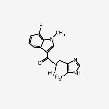 Cc1[nH]cnc1CN(C)C(=O)c1cn(C)c2c(F)cccc12